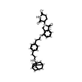 O=C1CCC(N2Cc3c(SCCc4ccc(CCNC56CC7CC(CC(C7)C5)C6)cc4)cccc3C2=O)C(=O)N1